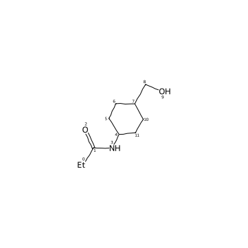 CCC(=O)NC1CCC(CO)CC1